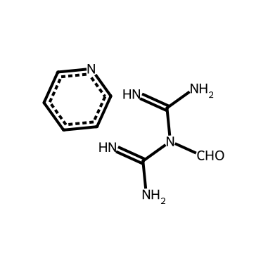 N=C(N)N(C=O)C(=N)N.c1ccncc1